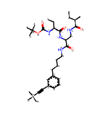 CCC(C)C(=O)NCC(NC(=O)C(CC)NC(=O)OC(C)(C)C)C(=O)NCCCCc1cccc(C#C[Si](C)(C)C)c1